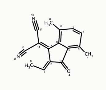 C/C=C1/C(=O)c2c(C)ccc(C)c2C1=C(C#N)C#N